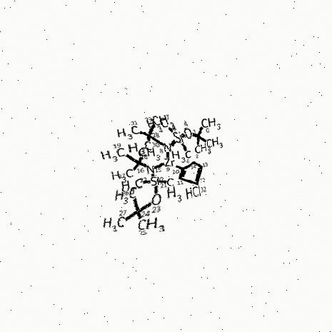 CC(C)(C)O[Si](C)(C)[N]([Zr]([C]1=CC=CC1)[N](C(C)(C)C)[Si](C)(C)OC(C)(C)C)C(C)(C)C.Cl